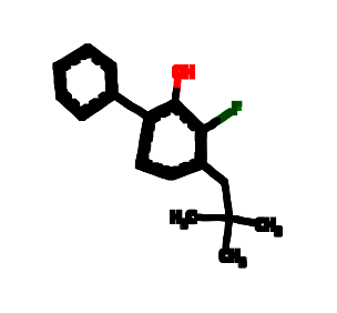 CC(C)(C)Cc1ccc(-c2ccccc2)c(O)c1F